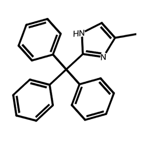 Cc1c[nH]c(C(c2ccccc2)(c2ccccc2)c2ccccc2)n1